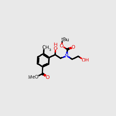 COC(=O)c1ccc(C)c(C(O)CN(CCO)C(=O)OC(C)(C)C)c1